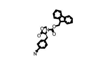 N#Cc1ccc(C[C@H]2C(=O)OCN2C(=O)OCC2c3ccccc3-c3ccccc32)cc1